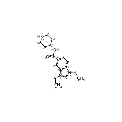 CCn1c[n+](CC)c2ccc(C(=O)NC3CCNCC3)cc21